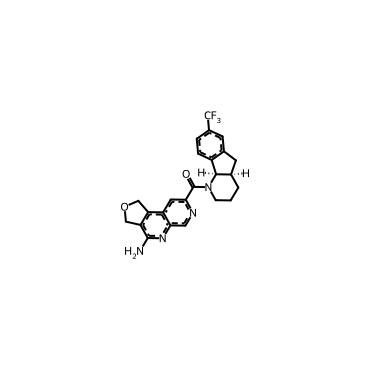 Nc1nc2cnc(C(=O)N3CCC[C@@H]4Cc5cc(C(F)(F)F)ccc5[C@@H]43)cc2c2c1COC2